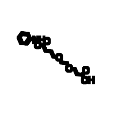 O=C(O)CCOCCOCCCC(=O)ONc1ccccc1